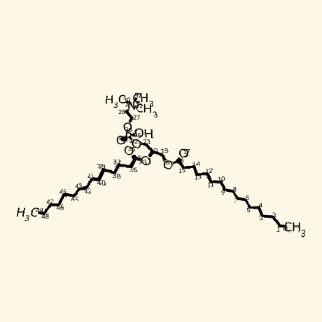 CCCCCCCCCCCCCCCCC(=O)OCC(COP(=O)(O)OCC[N+](C)(C)C)OC(=O)CCCCCCCCCCCCCC